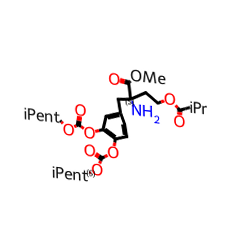 CCCC(C)OC(=O)Oc1cc(C[C@](N)(CCOC(=O)C(C)C)C(=O)OC)ccc1OC(=O)O[C@@H](C)CCC